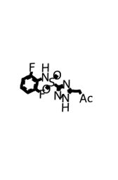 CC(=O)Cc1nc(S(=O)(=O)Nc2c(F)cccc2F)n[nH]1